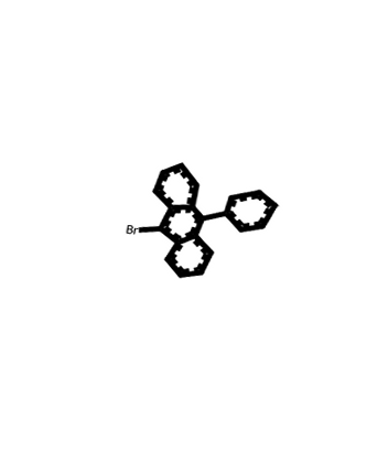 Brc1c2ccccc2c(-c2cc[c]cc2)c2ccccc12